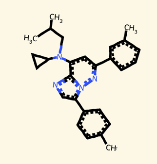 [CH]c1ccc(-c2cnc3c(N(CC(C)C)C4CC4)cc(-c4cccc(C)c4)nn23)cc1